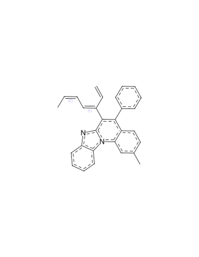 C=C/C(=C\C=C/C)c1c(-c2ccccc2)c2ccc(C)cc2n2c1nc1ccccc12